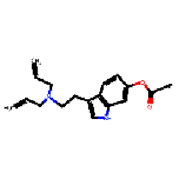 C=CCN(CC=C)CCc1c[nH]c2cc(OC(=O)C(C)C)ccc12